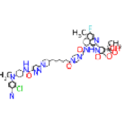 CC[C@@]1(O)C(=O)OCc2c1cc1n(c2=O)Cc2c-1nc1cc(F)c(C)c3c1c2C(NC(=O)CN1CCN(C(=O)CCCCCC2CCN(c4ccc(C(=O)N[C@H]5CC[C@H](N(C)c6ccc(C#N)c(Cl)c6)CC5)nn4)CC2)CC1)CC3